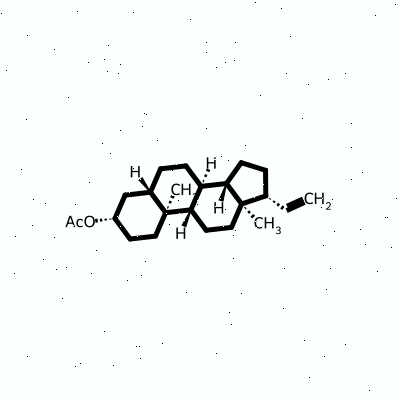 C=C[C@H]1CC[C@H]2[C@@H]3CC[C@H]4C[C@@H](OC(C)=O)CC[C@]4(C)[C@H]3CC[C@]12C